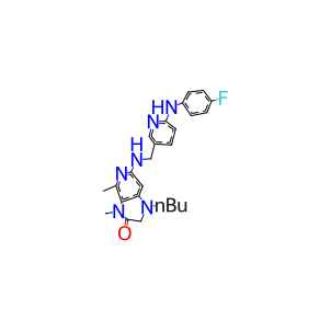 CCCCN1CC(=O)N(C)c2c1cc(NCc1ccc(Nc3ccc(F)cc3)nc1)nc2C